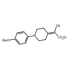 CCOC(=O)C(C#N)=C1CCN(c2ccc(OC)cc2)CC1